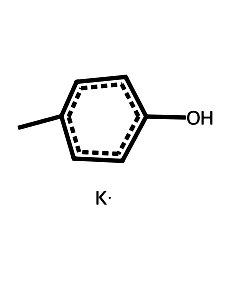 Cc1ccc(O)cc1.[K]